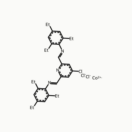 CCc1cc(CC)c(N=Cc2cc(Cl)cc(C=Nc3c(CC)cc(CC)cc3CC)n2)c(CC)c1.[Cl-].[Cl-].[Co+2]